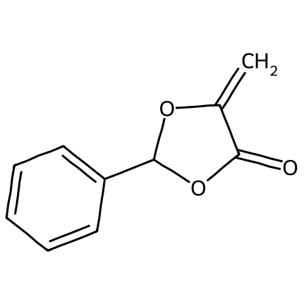 C=C1OC(c2ccccc2)OC1=O